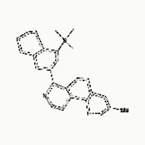 CC(C)(C)c1ccc2c(ccc3c(-c4cc([Si](C)(C)C)c5ccccc5c4)nccc32)c1